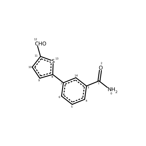 NC(=O)c1cccc(-c2ccc(C=O)s2)c1